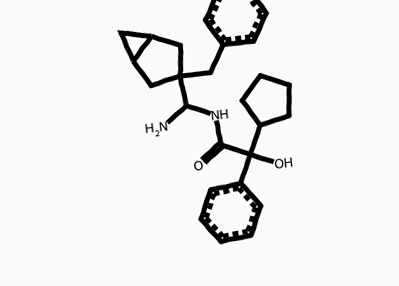 NC(NC(=O)C(O)(c1ccccc1)C1CCCC1)C1(Cc2ccccc2)CC2CC2C1